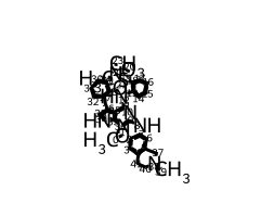 COc1cc2c(cc1Nc1nc(Nc3ccccc3S(=O)(=O)N(C)C)c3c(-c4ccccc4)c[nH]c3n1)CN(C)CC2